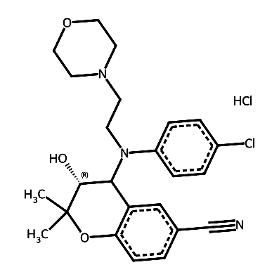 CC1(C)Oc2ccc(C#N)cc2C(N(CCN2CCOCC2)c2ccc(Cl)cc2)[C@H]1O.Cl